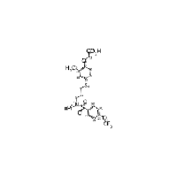 CCCN(CCCSc1ccc(OCC(=O)O)c(C)c1)S(=O)(=O)c1ccc(OC(F)(F)F)cc1